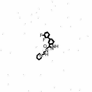 O=C(NCCN1CCCCC1)c1n[nH]c2ccc(-c3cccc(F)c3F)cc12